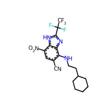 N#Cc1cc([N+](=O)[O-])c2[nH]c(C(F)(F)C(F)(F)F)nc2c1NCCC1CCCCC1